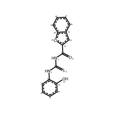 O=C(NC(=S)Nc1ccccc1O)c1cc2ccccc2o1